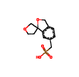 O=S(=O)(O)Cc1ccc2c(c1)C1(CCOC1)OC2